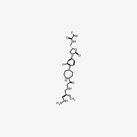 C=N/C(=C\NN)CNCC(=O)N1CCN(c2ccc(N3C[C@H](CNC(=O)C(F)F)OC3=O)cc2F)CCN1